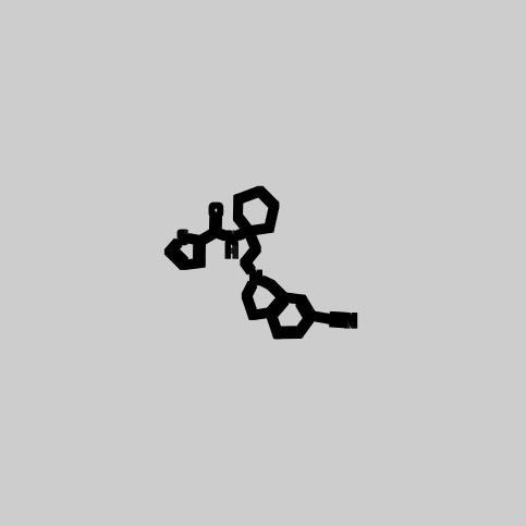 N#Cc1ccc2c(c1)CN(CCC1(NC(=O)c3cccs3)CCCCC1)CC2